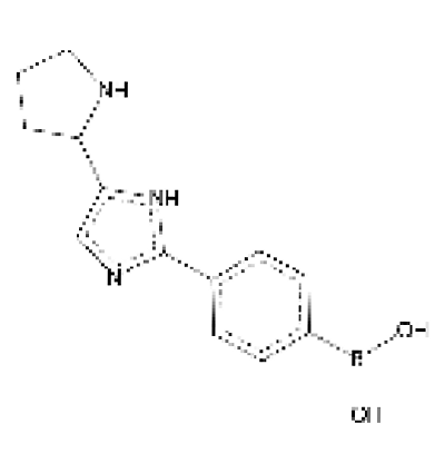 OB(O)c1ccc(-c2ncc(C3CCCN3)[nH]2)cc1